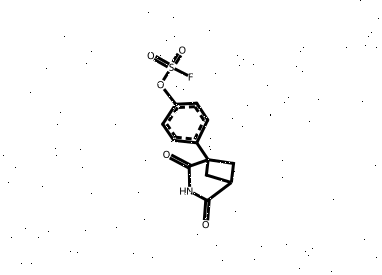 O=C1NC(=O)C2(c3ccc(OS(=O)(=O)F)cc3)CC1C2